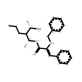 CCCC([C@H](C)O)[C@@H](C)OC(=O)C(=Cc1ccccc1)OCc1ccccc1